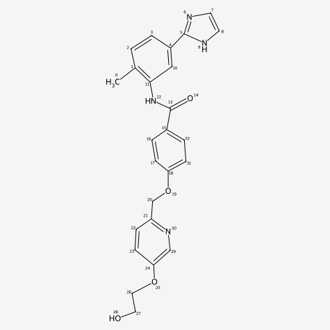 Cc1ccc(-c2ncc[nH]2)cc1NC(=O)c1ccc(OCc2ccc(OCCO)cn2)cc1